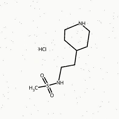 CS(=O)(=O)NCCC1CCNCC1.Cl